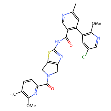 COc1ncc(Cl)cc1-c1cc(C)ncc1C(=O)Nc1nc2c(s1)CN(C(=O)c1ccc(C(F)(F)F)c(OC)n1)C2